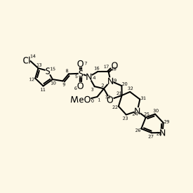 COCC12CN(S(=O)(=O)C=Cc3ccc(Cl)s3)CC(=O)N1CC1(CCN(c3ccncc3)CC1)O2